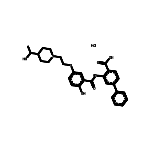 CC(O)C1CCN(CCOc2ccc(O)c(C(=O)Nc3cc(-c4ccccc4)ccc3C(=O)O)c2)CC1.Cl